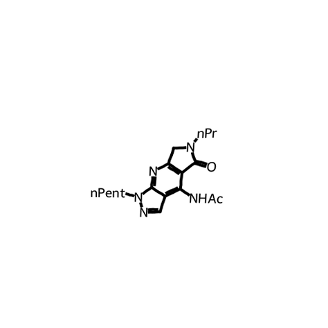 CCCCCn1ncc2c(NC(C)=O)c3c(nc21)CN(CCC)C3=O